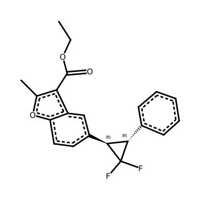 CCOC(=O)c1c(C)oc2ccc([C@H]3[C@H](c4ccccc4)C3(F)F)cc12